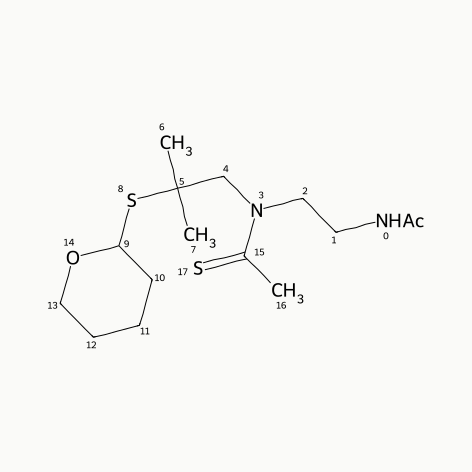 CC(=O)NCCN(CC(C)(C)SC1CCCCO1)C(C)=S